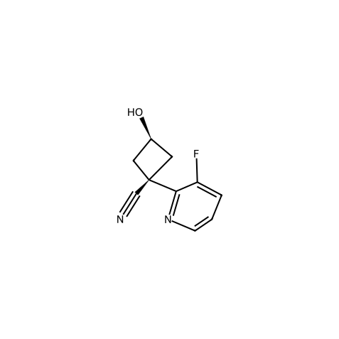 N#C[C@]1(c2ncccc2F)C[C@H](O)C1